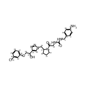 Nc1ccc(CNC(=O)NCC(=O)N2CCCC2Cn2cc(C(O)COc3cccc(Cl)c3)nn2)cc1